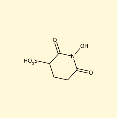 O=C1CCC(S(=O)(=O)O)C(=O)N1O